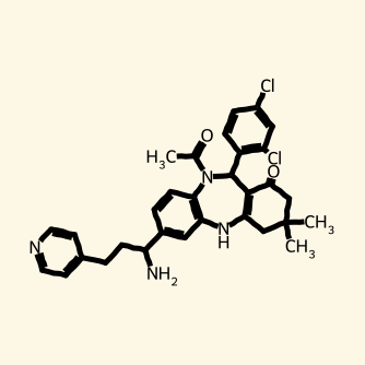 CC(=O)N1c2ccc(C(N)CCc3ccncc3)cc2NC2=C(C(=O)CC(C)(C)C2)C1c1ccc(Cl)cc1Cl